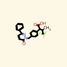 CC(C(C(=O)O)c1ccc(Cn2nc(-c3ccccc3)ccc2=O)cc1)C(F)(F)F